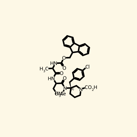 COCC(NC(=O)C(C)NC(=O)OCC1c2ccccc2-c2ccccc21)C(=O)N(C)[C@@]1(Cc2ccc(Cl)cc2)CCCN(C(=O)O)C1